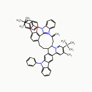 C=C1CC2C(CCc3ccc4c(oc5ccccc54)c3-c3n(-c4ccc(C(C)(C)C)cc4)c4ccccc4[n+]31)c1cc3c(cc1-c1cc(C)c([Si](C)(C)C)c[n+]12)c1ccccc1n3-c1ccccc1